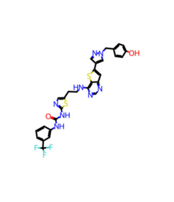 O=C(Nc1cccc(C(F)(F)F)c1)Nc1ncc(CCNc2ncnc3cc(-c4cnn(Cc5ccc(O)cc5)c4)sc23)s1